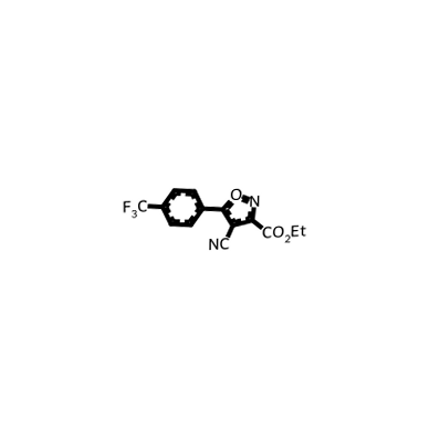 CCOC(=O)c1noc(-c2ccc(C(F)(F)F)cc2)c1C#N